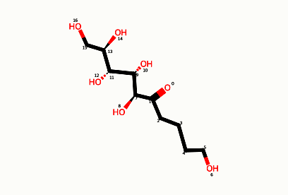 O=C(CCCCO)[C@@H](O)[C@@H](O)[C@H](O)[C@H](O)CO